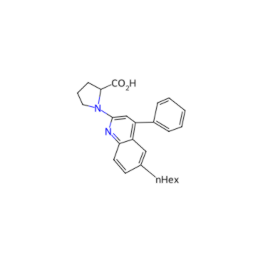 CCCCCCc1ccc2nc(N3CCCC3C(=O)O)cc(-c3ccccc3)c2c1